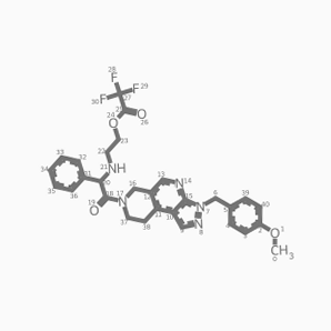 COc1ccc(Cn2ncc3c4c(cnc32)CN(C(=O)C(NCCOC(=O)C(F)(F)F)c2ccccc2)CC4)cc1